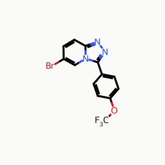 FC(F)(F)Oc1ccc(-c2nnc3ccc(Br)cn23)cc1